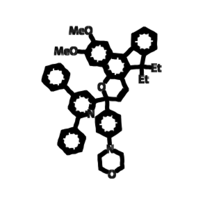 CCC1(CC)c2ccccc2-c2c1c1c(c3cc(OC)c(OC)cc23)OC(c2ccc(N3CCOCC3)cc2)(c2cc(-c3ccccc3)cc(-c3ccccc3)n2)C=C1